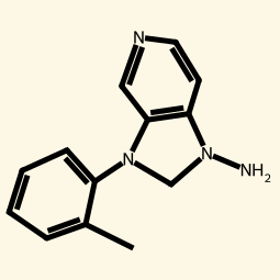 Cc1ccccc1N1CN(N)c2ccncc21